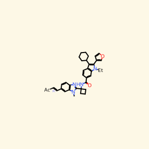 CCn1c(-c2ccoc2)c(C2CCCCC2)c2ccc(C(=O)NC3(c4nc5ccc(/C=C/C(C)=O)cc5n4C)CCC3)cc21